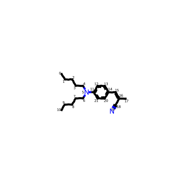 CCCCCN(CCCCC)c1ccc(/C=C(/C)C#N)cc1